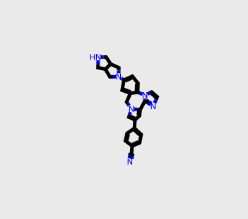 N#Cc1ccc(-c2cc3n(c2)Cc2cc(N4CC5CNCC5C4)ccc2-n2ccnc2-3)cc1